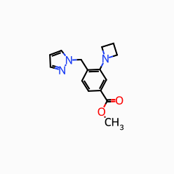 COC(=O)c1ccc(Cn2cccn2)c(N2CCC2)c1